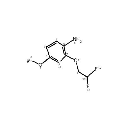 CC(C)Oc1ccc(N)c(OCC(F)F)n1